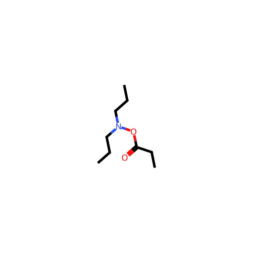 CCCN(CCC)OC(=O)CC